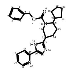 O=C(OCc1ccccc1)N1CC(c2ncc(-c3ccccn3)[nH]2)CCC1C1CCCC1